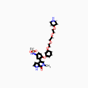 CCS(=O)(=O)Nc1ccc(Oc2cccc(OCCOCCOCCOC3CCNCC3)c2)c(-c2cn(C)c(=O)c3[nH]ccc23)c1